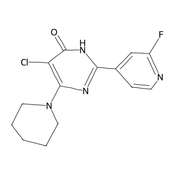 O=c1[nH]c(-c2ccnc(F)c2)nc(N2CCCCC2)c1Cl